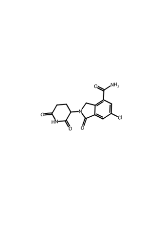 NC(=O)c1cc(Cl)cc2c1CN(C1CCC(=O)NC1=O)C2=O